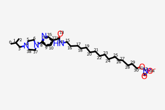 CC(C)CN1CCN(c2ccc(C(=O)NCCCCCCCCCCCCCCCCO[N+](=O)[O-])cn2)CC1